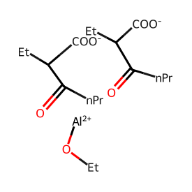 CCCC(=O)C(CC)C(=O)[O-].CCCC(=O)C(CC)C(=O)[O-].CC[O][Al+2]